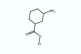 CCOC(=O)C1CCCN(N)C1